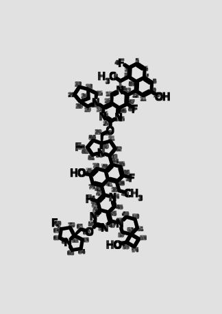 CCc1c(F)ccc2cc(O)cc(-c3ncc4c(N5CC6CCC(C6)C5)nc(OC[C@@]56CCC(c7cc(F)c(CC)c8c(-c9ncc%10c(N%11CCCC%12(CCC%12O)C%11)nc(OC[C@@]%11%12CCCN%11C[C@H](F)C%12)nc%10c9F)cc(O)cc78)N5C[C@H](F)C6)nc4c3F)c12